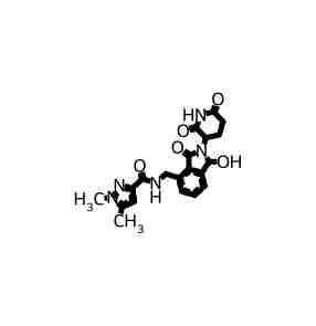 Cc1cc(C(=O)NCc2cccc3c2C(=O)N(C2CCC(=O)NC2=O)C3O)nn1C